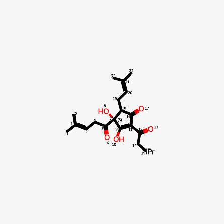 CC(C)=CCC(=O)[C@@]1(O)C(O)=C(C(=O)CC(C)C)C(=O)C1CC=C(C)C